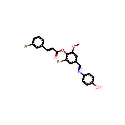 COc1cc(/C=N/c2ccc(O)cc2)cc(Br)c1OC(=O)C=Cc1cccc(Br)c1